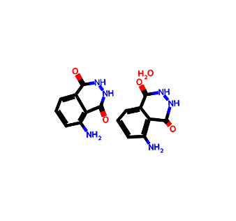 Nc1cccc2c(=O)[nH][nH]c(=O)c12.Nc1cccc2c(=O)[nH][nH]c(=O)c12.O